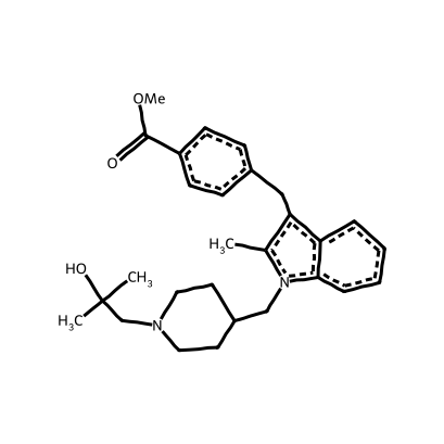 COC(=O)c1ccc(Cc2c(C)n(CC3CCN(CC(C)(C)O)CC3)c3ccccc23)cc1